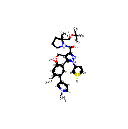 [2H]C([2H])([2H])OCC1(C)CCCN1C(=O)c1nn(-c2ccsc2)c2c1COc1cc(OC)c(-c3ccn(C)c3)cc1-2